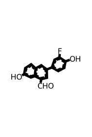 O=Cc1cc(-c2ccc(O)c(F)c2)cc2ccc(O)cc12